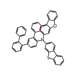 c1ccc(-c2ccccc2-c2ccc(N(c3ccc4c(c3)oc3ccccc34)c3ccc4c(c3)sc3ccccc34)c(-c3ccccc3)c2)cc1